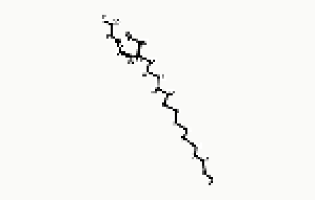 CCCCCCCCCCCCCCCc1cc[n+](CCC)cc1